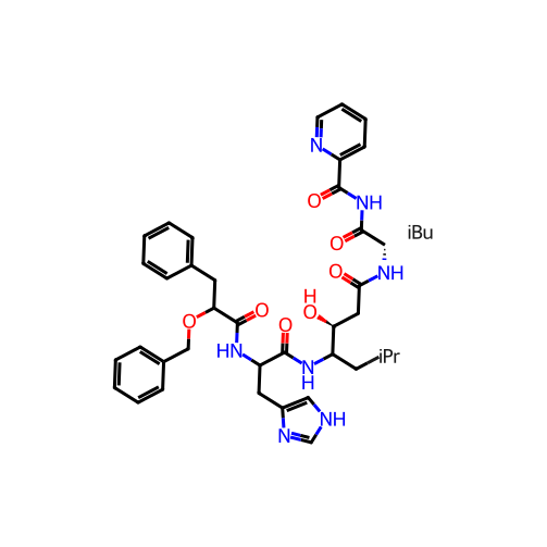 CC[C@H](C)[C@H](NC(=O)C[C@H](O)C(CC(C)C)NC(=O)C(Cc1c[nH]cn1)NC(=O)C(Cc1ccccc1)OCc1ccccc1)C(=O)NC(=O)c1ccccn1